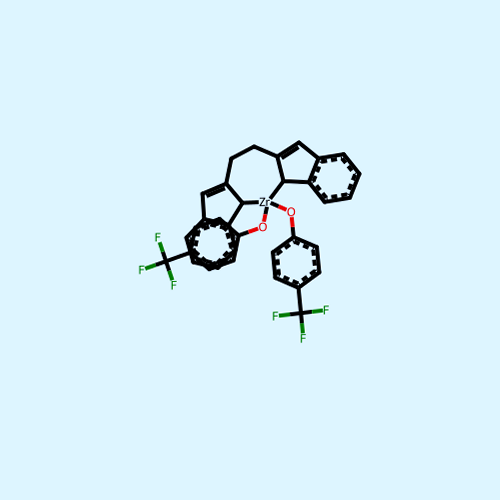 FC(F)(F)c1ccc([O][Zr]2([O]c3ccc(C(F)(F)F)cc3)[CH]3C(=Cc4ccccc43)CCC3=Cc4ccccc4[CH]32)cc1